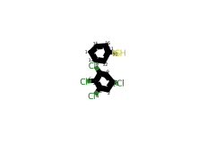 Clc1cc(Cl)c(Cl)c(Cl)c1.Sc1ccccc1